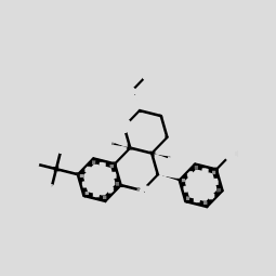 OC[C@@H]1CC[C@@H]2[C@@H](c3cccc(O)c3)Nc3ccc(C(F)(F)F)cc3[C@@H]2O1